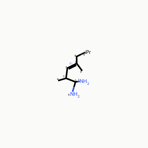 C/C(=C\C(C)C(N)N)CC(C)C